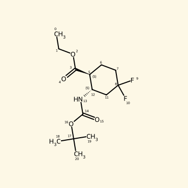 CCOC(=O)[C@H]1CCC(F)(F)C[C@@H]1NC(=O)OC(C)(C)C